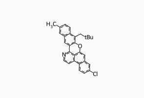 Cc1ccc2c(CC(C)(C)C)c3c(cc2c1)-c1nccc2c1c(cc1cc(Cl)ccc12)O3